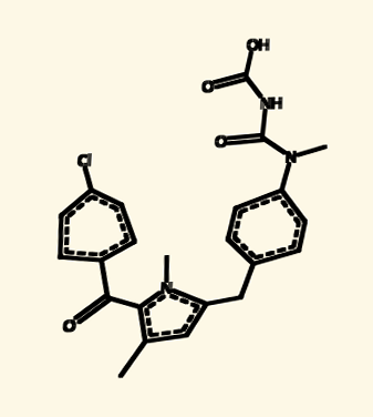 Cc1cc(Cc2ccc(N(C)C(=O)NC(=O)O)cc2)n(C)c1C(=O)c1ccc(Cl)cc1